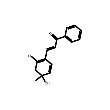 O=C(C=CC1=C(Cl)CC(O)(Cl)C=C1)c1ccccc1